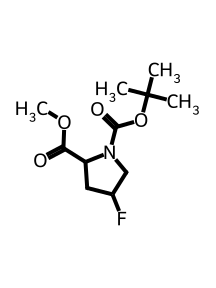 COC(=O)C1CC(F)CN1C(=O)OC(C)(C)C